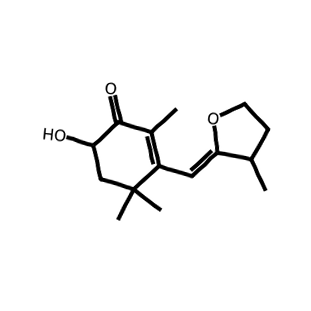 CC1=C(/C=C2\OCCC2C)C(C)(C)CC(O)C1=O